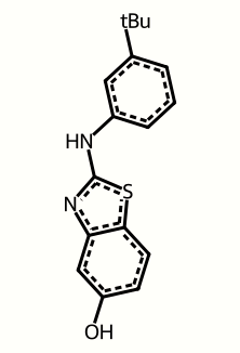 CC(C)(C)c1cccc(Nc2nc3cc(O)ccc3s2)c1